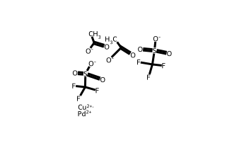 CC(=O)[O-].CC(=O)[O-].O=S(=O)([O-])C(F)(F)F.O=S(=O)([O-])C(F)(F)F.[Cu+2].[Pd+2]